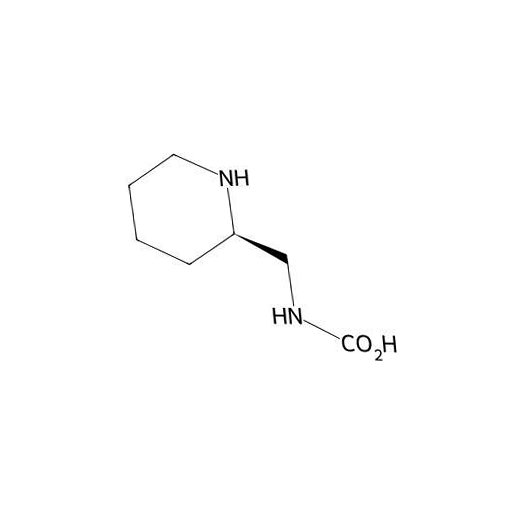 O=C(O)NC[C@H]1CCCCN1